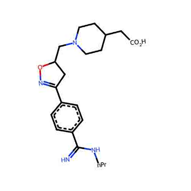 CCCNC(=N)c1ccc(C2=NOC(CN3CCC(CC(=O)O)CC3)C2)cc1